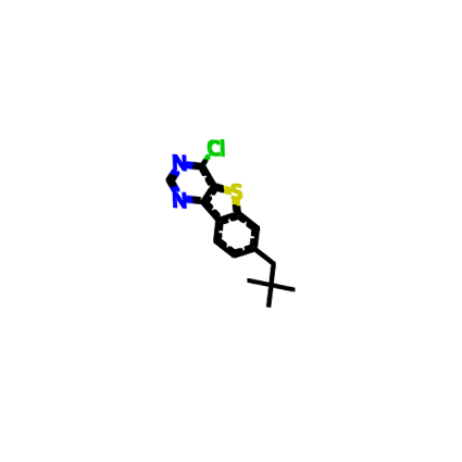 CC(C)(C)Cc1ccc2c(c1)sc1c(Cl)ncnc12